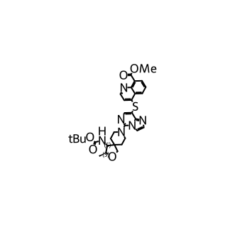 COC(=O)c1cccc2c(Sc3cnc(N4CCC5(CC4)CO[C@@H](C)[C@H]5NC(=O)OC(C)(C)C)n4ccnc34)ccnc12